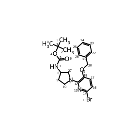 CC(C)(C)OC(=O)NC1CCN(c2nc(Br)ccc2OCc2ccccc2)C1